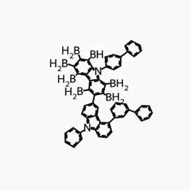 Bc1c(B)c(B)c2c(c1B)c1c(B)c(-c3ccc4c(c3)c3c(-c5cccc(-c6ccccc6)c5)cccc3n4-c3ccccc3)c(B)c(B)c1n2-c1ccc(-c2ccccc2)cc1